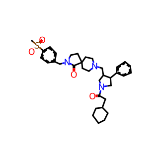 CS(=O)(=O)c1ccc(CN2CCC3(CCN(CC4CN(C(=O)CC5CCCCC5)CC4c4ccccc4)CC3)C2=O)cc1